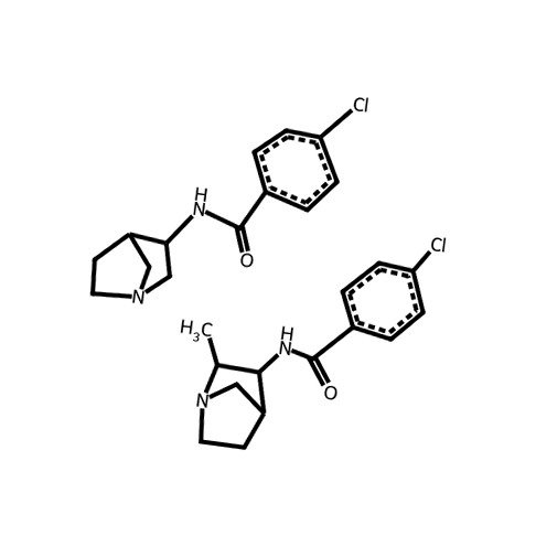 CC1C(NC(=O)c2ccc(Cl)cc2)C2CCN1C2.O=C(NC1CN2CCC1C2)c1ccc(Cl)cc1